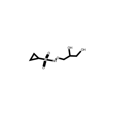 O=S(=O)(NOCC(O)CO)C1CC1